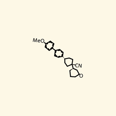 COc1ccc(-c2ccc([C@H]3CC[C@@](C#N)([C@@H]4CCCC(=O)C4)CC3)cc2)cc1